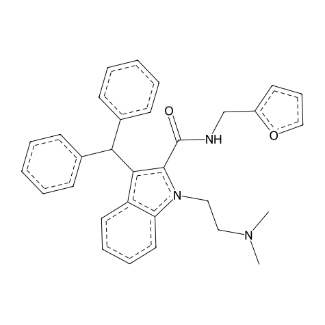 CN(C)CCn1c(C(=O)NCc2ccco2)c(C(c2ccccc2)c2ccccc2)c2ccccc21